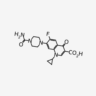 NC(=O)N1CCN(c2cc3c(cc2F)c(=O)c(C(=O)O)cn3C2CC2)CC1